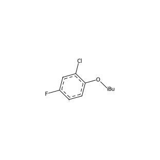 CCC(C)Oc1c[c]c(F)cc1Cl